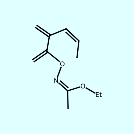 C=C(/C=C\C)C(=C)O/N=C(/C)OCC